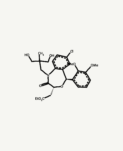 CCOC(=O)C[C@H]1O[C@H](c2cccc(OC)c2OC)c2cc(Cl)ccc2N(CC(C)(CO)CO)C1=O